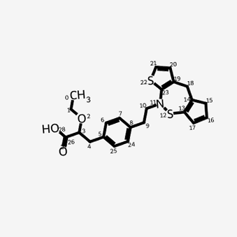 CCOC(Cc1ccc(CCN2SC3=C(CC=C3)Cc3ccsc32)cc1)C(=O)O